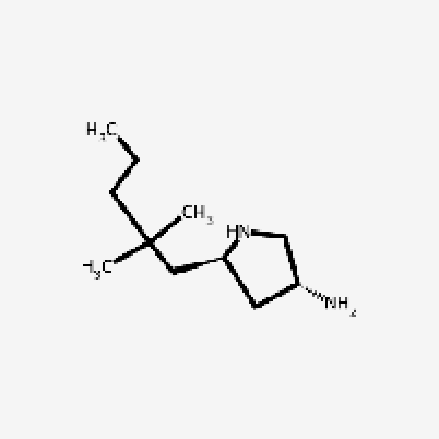 CCCC(C)(C)C[C@@H]1C[C@@H](N)CN1